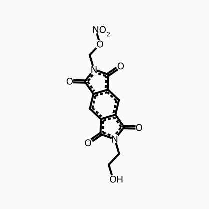 O=c1c2cc3c(=O)n(CO[N+](=O)[O-])c(=O)c3cc2c(=O)n1CCO